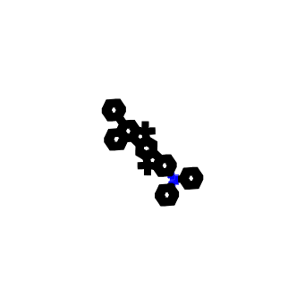 CC1(C)c2cc(N(c3ccccc3)c3ccccc3)ccc2-c2cc3c(cc21)-c1c(cc(-c2ccccc2)c2ccccc12)C3(C)C